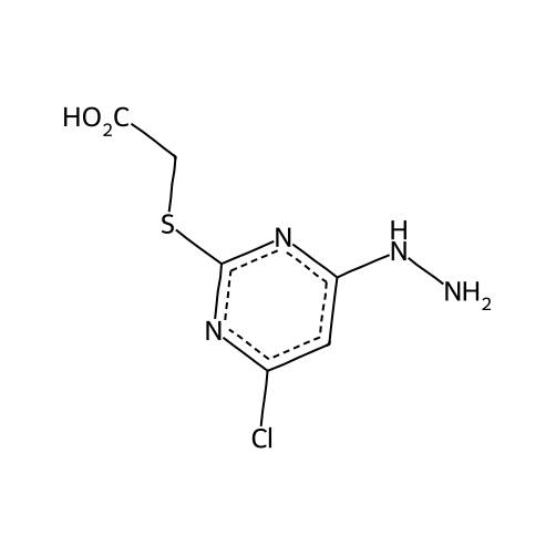 NNc1cc(Cl)nc(SCC(=O)O)n1